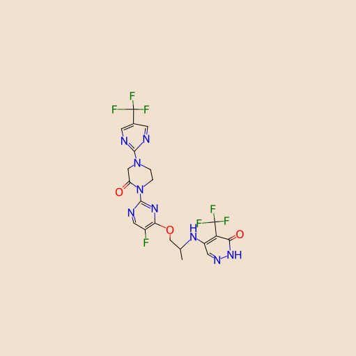 CC(COc1nc(N2CCN(c3ncc(C(F)(F)F)cn3)CC2=O)ncc1F)Nc1cn[nH]c(=O)c1C(F)(F)F